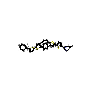 C=C/C=C(\C=C/C)c1ccc(C2=CC3c4ccc5c6c(ccc(c46)C3S2)C2C=C(c3ccc(-c4ccccc4)s3)SC52)s1